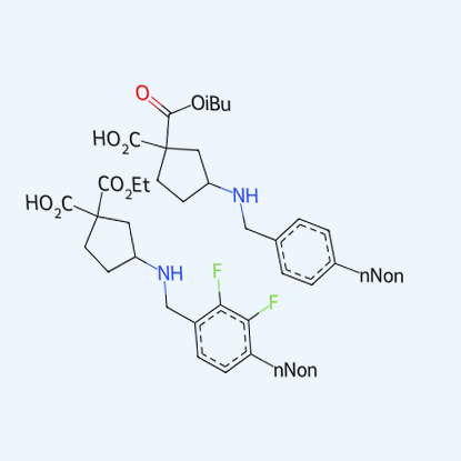 CCCCCCCCCc1ccc(CNC2CCC(C(=O)O)(C(=O)OCC(C)C)C2)cc1.CCCCCCCCCc1ccc(CNC2CCC(C(=O)O)(C(=O)OCC)C2)c(F)c1F